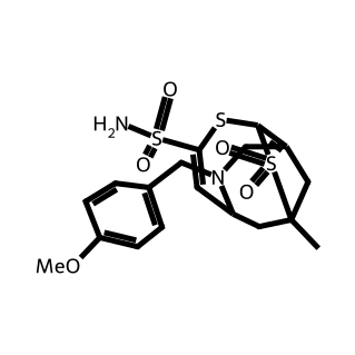 COc1ccc(CN2CC3=C4SC(S(N)(=O)=O)=CC2CC(C)(C3)S4(=O)=O)cc1